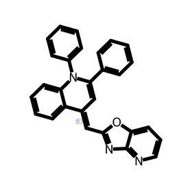 C1=C(c2ccccc2)N(c2ccccc2)c2ccccc2/C1=C/c1nc2ncccc2o1